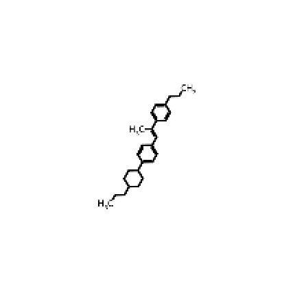 CCCc1ccc(C(C)=Cc2ccc(C3CCC(CCC)CC3)cc2)cc1